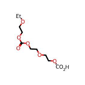 CCOCCOC(=O)OCCOCCOC(=O)O